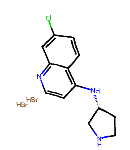 Br.Br.Clc1ccc2c(N[C@@H]3CCNC3)ccnc2c1